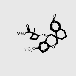 COC(=O)[C@@]1(C)CC[C@H]1CN1CC2(CCCc3cc(Cl)ccc32)COc2ccc(C(=O)O)cc21